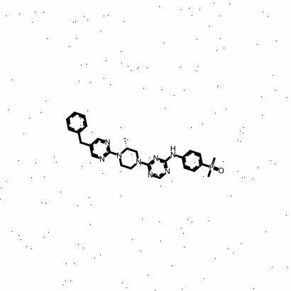 C[C@@H]1CN(c2ncnc(Nc3ccc(P(C)(C)=O)cc3)n2)CCN1c1ncc(Cc2ccccc2)cn1